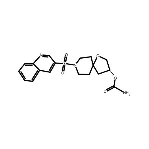 NC(=O)O[C@H]1COC2(CCN(S(=O)(=O)c3cnc4ccccc4c3)CC2)C1